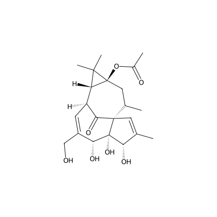 CC(=O)O[C@@]12CC(C)[C@]34C=C(C)[C@H](O)[C@@]3(O)[C@H](O)C(CO)=C[C@H](C4=O)[C@@H]1C2(C)C